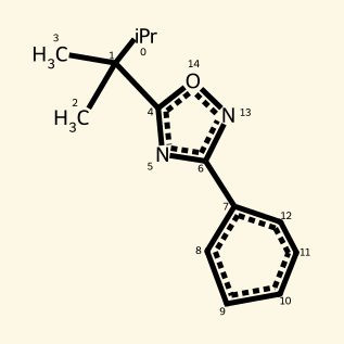 CC(C)C(C)(C)c1nc(-c2ccccc2)no1